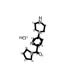 Cl.O=C(c1ccc(N2CCNCC2)cn1)N1CCCC1